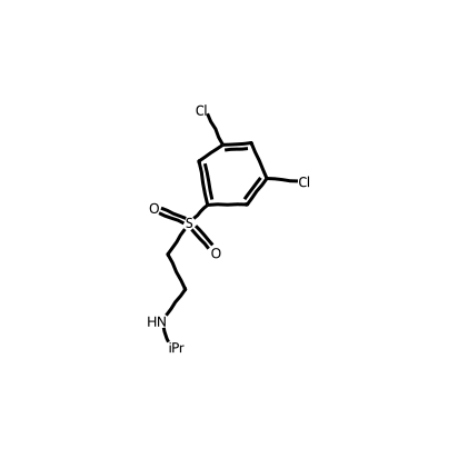 CC(C)NCCS(=O)(=O)c1cc(Cl)cc(Cl)c1